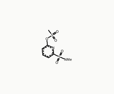 CNS(=O)(=O)c1cccc(OS(C)(=O)=O)n1